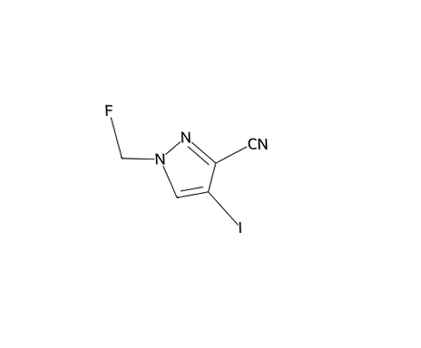 N#Cc1nn(CF)cc1I